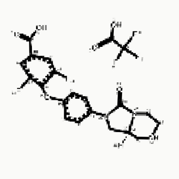 O=C(O)C(F)(F)F.O=C(O)c1cc(F)c(Oc2ccc(N3C[C@@H]4CNCCN4C3=O)cc2)c(F)c1